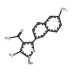 Cc1ccc2cc(-c3nn(C(C)(C)C)c(N)c3C(N)=O)ccc2c1